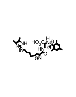 Cc1cc(C)c(S(=O)(=O)NC(CNC(=O)C2=NOC(CCCCNc3nc(C)c(C)[nH]3)C2)C(=O)O)c(C)c1